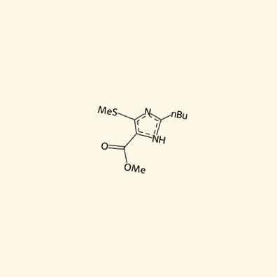 CCCCc1nc(SC)c(C(=O)OC)[nH]1